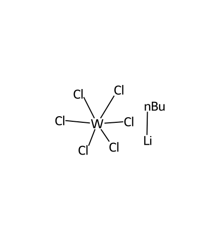 [Cl][W]([Cl])([Cl])([Cl])([Cl])[Cl].[Li][CH2]CCC